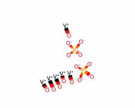 O=P([O-])([O-])[O-].O=P([O-])([O-])[O-].[O]=[V+].[O]=[V+].[O]=[V+].[O]=[V+].[O]=[V+].[O]=[V+]